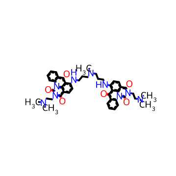 CN(C)CCn1c(=O)c2ccc(NCCCN(C)CCCNc3ccc4c(=O)n(CCN(C)C)c(=O)n5c6ccccc6c(=O)c3c45)c3c(=O)c4ccccc4n(c1=O)c23